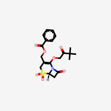 CC(C)(C)C(=O)COC1=C(COC(=O)c2ccccc2)CS(=O)(=O)[C@H]2CC(=O)N12